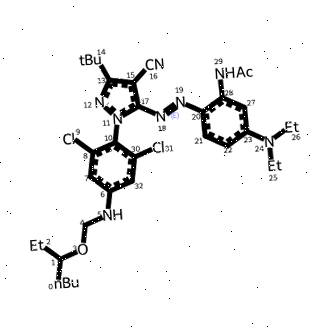 CCCCC(CC)OCNc1cc(Cl)c(-n2nc(C(C)(C)C)c(C#N)c2/N=N/c2ccc(N(CC)CC)cc2NC(C)=O)c(Cl)c1